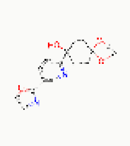 OC1(c2ccc(-c3ncco3)cn2)CCC2(CC1)OCCO2